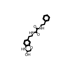 O=C(NCCc1ccccc1)C(=O)NCCc1ccc2c(c1)OC[C@@H](O)N2